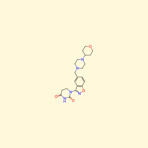 O=C1CCN(c2noc3ccc(CN4CCN(C5CCOCC5)CC4)cc23)C(=O)N1